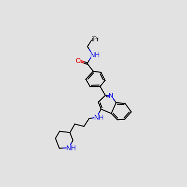 CC(C)CNC(=O)c1ccc(-c2cc(NCCCC3CCCNC3)c3ccccc3n2)cc1